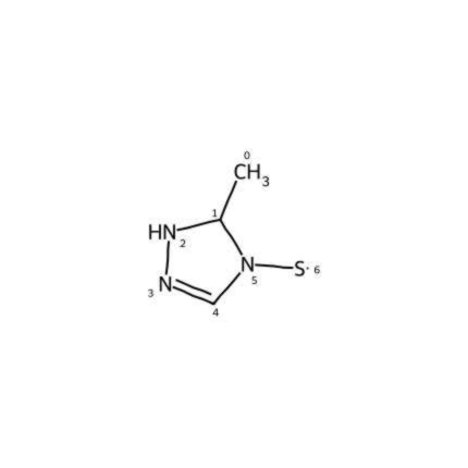 CC1NN=CN1[S]